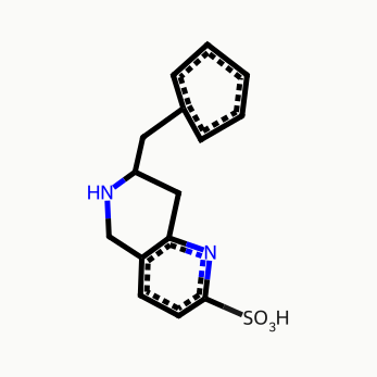 O=S(=O)(O)c1ccc2c(n1)CC(Cc1ccccc1)NC2